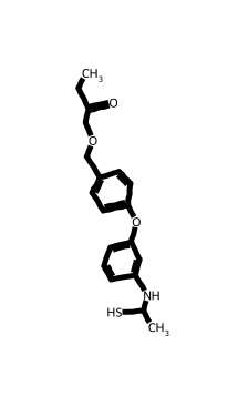 CCC(=O)COCc1ccc(Oc2cccc(NC(C)S)c2)cc1